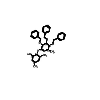 C[C@H]1C[C@@H](O)[C@H](O[C@H]2O[C@H](C)[C@H](OCc3ccccc3)[C@H](OCc3ccccc3)[C@H]2OCc2ccccc2)[C@@H](C)C1